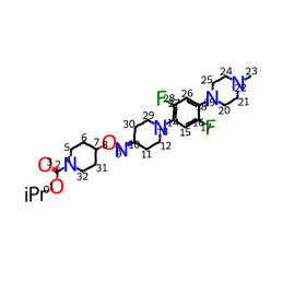 CC(C)OC(=O)N1CCC(ON=C2CCN(c3cc(F)c(N4CCN(C)CC4)cc3F)CC2)CC1